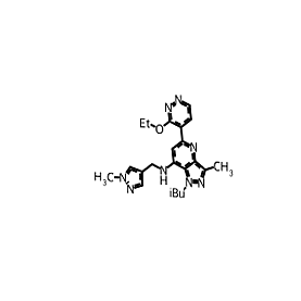 CCOc1nnccc1-c1cc(NCc2cnn(C)c2)c2c(n1)c(C)nn2[C@H](C)CC